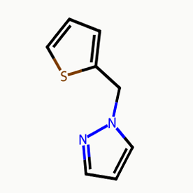 c1csc(Cn2cccn2)c1